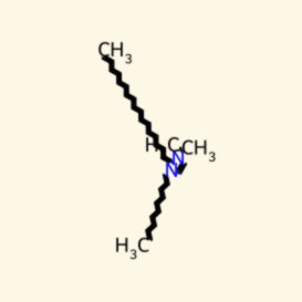 CCCCCCCCCCCCCCCCCCC1N(CCCCCCCCCCC)C=CN1C(C)C